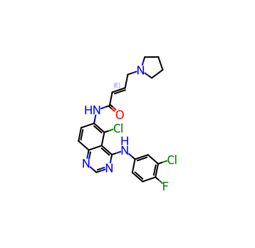 O=C(/C=C/CN1CCCC1)Nc1ccc2ncnc(Nc3ccc(F)c(Cl)c3)c2c1Cl